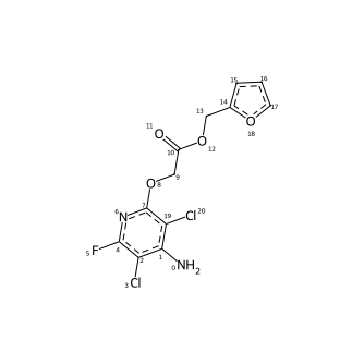 Nc1c(Cl)c(F)nc(OCC(=O)OCc2ccco2)c1Cl